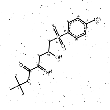 CC(C)(C)OC(=O)C(=N)CC(O)CS(=O)(=O)c1ccc(O)cc1